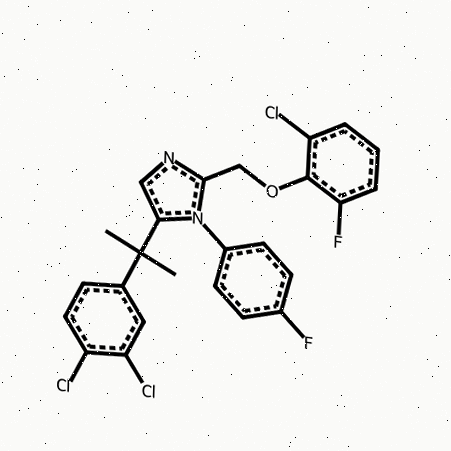 CC(C)(c1ccc(Cl)c(Cl)c1)c1cnc(COc2c(F)cccc2Cl)n1-c1ccc(F)cc1